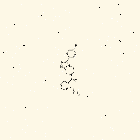 C=Cc1ccccc1C(=O)N1CCn2c(nnc2-c2ccc(F)cn2)C1